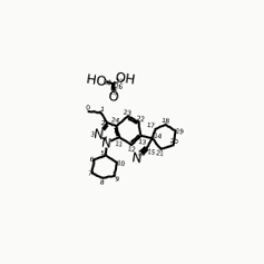 CCc1nn(C2CCCCC2)c2cc(C3(C#N)CCCCC3)ccc12.O=C(O)O